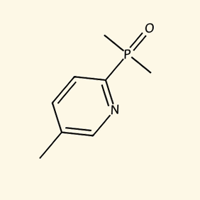 Cc1ccc(P(C)(C)=O)nc1